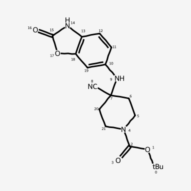 CC(C)(C)OC(=O)N1CCC(C#N)(Nc2ccc3[nH]c(=O)oc3c2)CC1